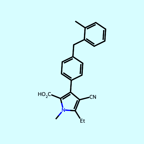 CCc1c(C#N)c(-c2ccc(Cc3ccccc3C)cc2)c(C(=O)O)n1C